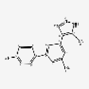 CC(C)(C)c1cc(-c2ccc(F)cc2)cc(-c2nn[nH]c2C#N)c1